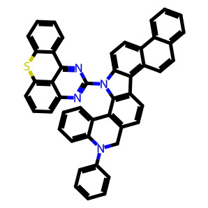 c1ccc(N2Cc3ccc4c5c6ccc7ccccc7c6ccc5n(-c5nc6c7c(cccc7n5)Sc5ccccc5-6)c4c3-c3ccccc32)cc1